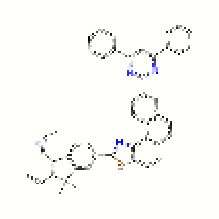 C=CC1=C(/C=C\C)c2ccc(-c3nc4c(ccc5ccc6cc(-c7nc(-c8ccccc8)cc(-c8ccccc8)n7)ccc6c54)s3)cc2C1(C)C